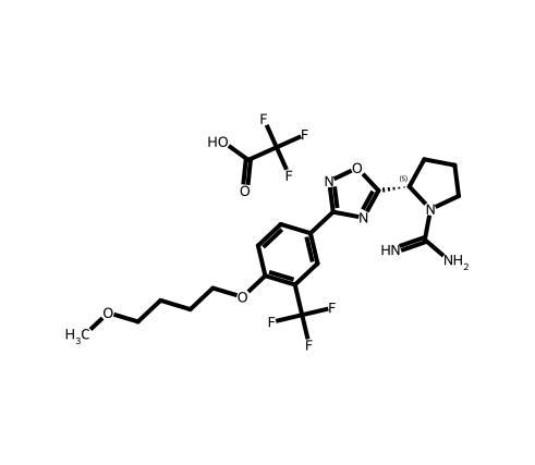 COCCCCOc1ccc(-c2noc([C@@H]3CCCN3C(=N)N)n2)cc1C(F)(F)F.O=C(O)C(F)(F)F